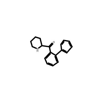 O=C(c1ccccc1-c1ccccc1)C1CCCCN1